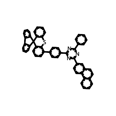 c1ccc(-c2nc(-c3ccc(-c4cccc5c4Sc4ccccc4C54c5ccccc5-c5ccccc54)cc3)nc(-c3ccc4c(ccc5ccccc54)c3)n2)cc1